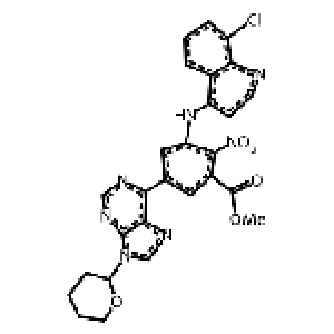 COC(=O)c1cc(-c2ncnc3c2ncn3C2CCCCO2)cc(Nc2ccnc3c(Cl)cccc23)c1[N+](=O)[O-]